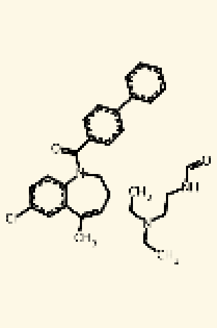 CC1=CCCN(C(=O)c2ccc(-c3ccccc3)cc2)c2ccc(Cl)cc21.CCN(CC)CCNC=O